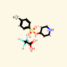 Cc1ccc(S(=O)(=O)OC2CCNCC2)cc1.O=C(O)C(F)(F)F